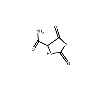 NC(=O)C1NC(=O)[N]C1=O